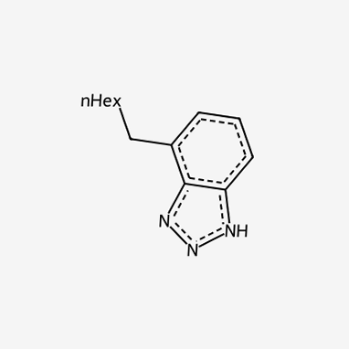 CCCCCCCc1cccc2[nH]nnc12